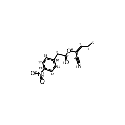 CCC=C(C#N)OC(=O)Cc1ccc([N+](=O)[O-])cc1